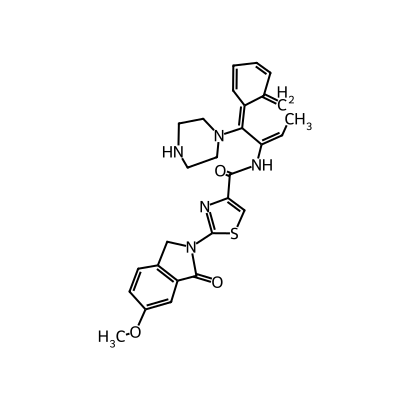 C=c1cccc/c1=C(/C(=C\C)NC(=O)c1csc(N2Cc3ccc(OC)cc3C2=O)n1)N1CCNCC1